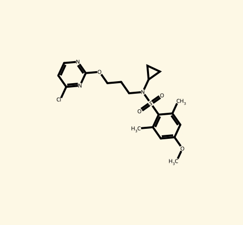 COc1cc(C)c(S(=O)(=O)N(CCCOc2nccc(Cl)n2)C2CC2)c(C)c1